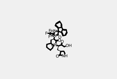 O=C1NCC[C@@H]1C[C@@H](NC(=O)[C@@H](CC1CCCCC1)NC(=O)C1(NC(=O)C(F)(F)F)c2ccccc2-c2ccccc21)C(=O)CO